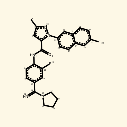 Cc1cc(C(=O)Nc2ccc(C(=N)N3CCCC3)cc2F)n(-c2ccc3cc(F)ccc3c2)n1